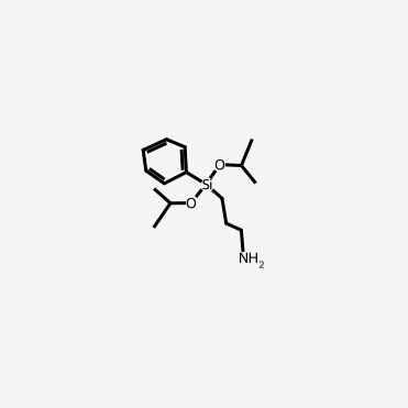 CC(C)O[Si](CCCN)(OC(C)C)c1ccccc1